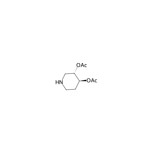 CC(=O)O[C@H]1CCNC[C@@H]1OC(C)=O